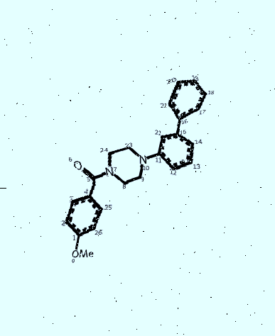 COc1ccc(C(=O)N2CCN(c3cccc(-c4ccccc4)c3)CC2)cc1